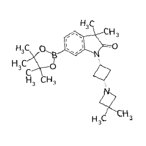 CC1(C)CN([C@H]2C[C@@H](N3C(=O)C(C)(C)c4ccc(B5OC(C)(C)C(C)(C)O5)cc43)C2)C1